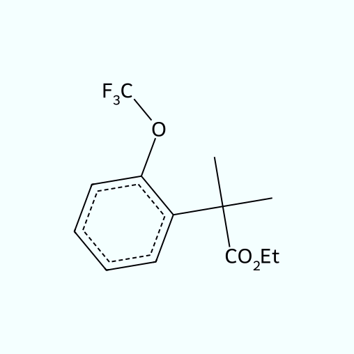 CCOC(=O)C(C)(C)c1ccccc1OC(F)(F)F